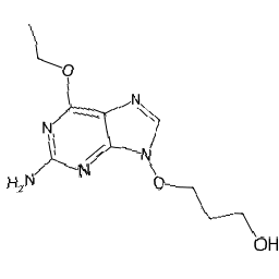 CCOc1nc(N)nc2c1ncn2OCCCO